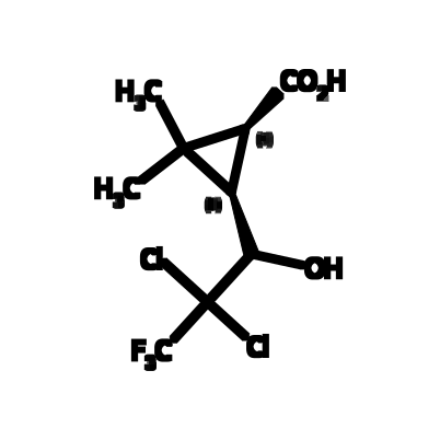 CC1(C)[C@H](C(O)C(Cl)(Cl)C(F)(F)F)[C@@H]1C(=O)O